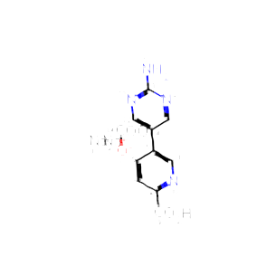 Nc1ncc(-c2ccc(C(=O)O)nc2)cn1.O=C([O-])[O-].[Na+].[Na+]